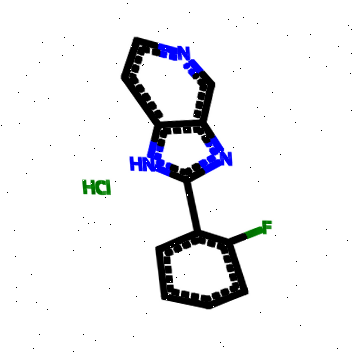 Cl.Fc1ccccc1-c1nc2cnccc2[nH]1